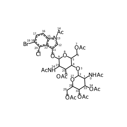 CC(=O)NC1C(OC2C(COC(C)=O)OC(Oc3cn(C(C)=O)c4ccc(Br)c(Cl)c34)C(NC(C)=O)C2OC(C)=O)OC(COC(C)=O)C(OC(C)=O)C1OC(C)=O